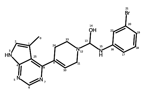 Cc1c[nH]c2ncnc(C3=CCN(C(O)Nc4cccc(Br)c4)CC3)c12